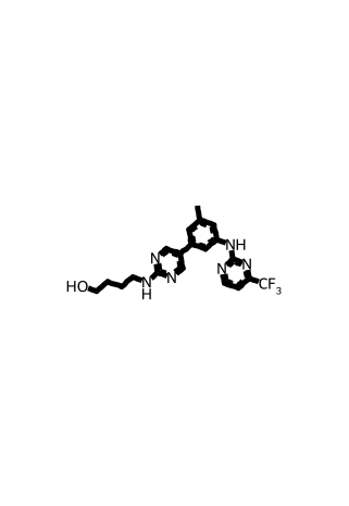 Cc1cc(Nc2nccc(C(F)(F)F)n2)cc(-c2cnc(NCCCCO)nc2)c1